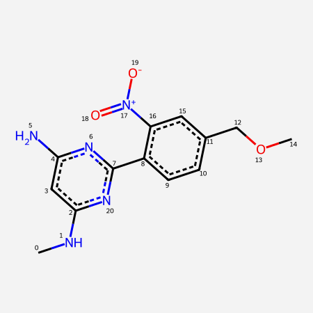 CNc1cc(N)nc(-c2ccc(COC)cc2[N+](=O)[O-])n1